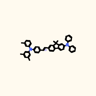 Cc1cccc(N(c2ccc(/C=C/c3ccc4c(c3)C(C)(C)c3cc(N(c5ccccc5)c5ccccc5)ccc3-4)cc2)c2cc(C)cc(C)c2)c1